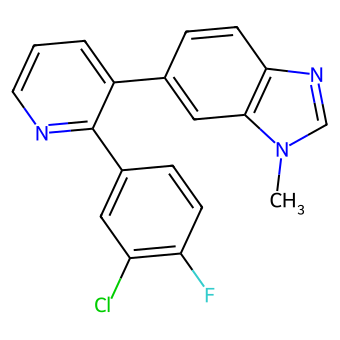 Cn1cnc2ccc(-c3cccnc3-c3ccc(F)c(Cl)c3)cc21